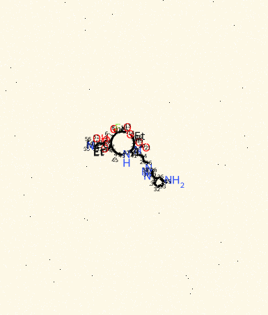 CCO[C@@H](O[C@@H]1[C@H](C)C(=O)C(C)(F)C(=O)O[C@H](CC)[C@@]2(C)OC(=O)N(CCCCn3cc(-c4cccc(N)c4)nn3)[C@@H]2[C@@H](C)NC[C@H](C)C[C@@]1(C)OC)C(O)C(CC)N(C)C